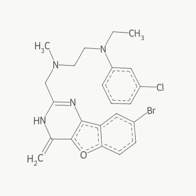 C=C1NC(CN(C)CCN(CC)c2cccc(Cl)c2)=Nc2c1oc1ccc(Br)cc21